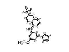 COc1cc(Nc2ccnc3cc(C(F)(F)F)ccc23)cc(-n2ccnc2)c1